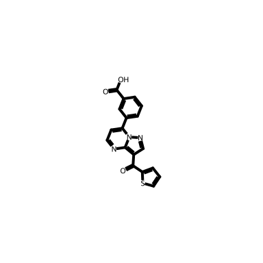 O=C(O)c1cccc(-c2ccnc3c(C(=O)c4cccs4)cnn23)c1